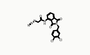 [N-]=[N+]=NCC(=O)Nc1cccc2c1C(=O)N(Cc1ccc(Cl)c(Cl)c1)C2=O